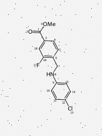 COC(=O)c1ccc(CNc2ccc(Cl)cc2)c(F)c1